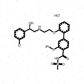 CC(C)Sc1cc(-c2ccccc2OCCNC[C@H](O)c2cccc(Cl)c2)ccc1C(=O)NS(C)(=O)=O.Cl